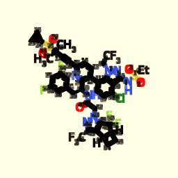 CCS(=O)(=O)Nc1nn(CC(F)(F)F)c2c(-c3ccc(C#CC(C)(C)S(=O)(=O)C4CC4)nc3[C@H](Cc3cc(F)cc(F)c3)NC(=O)Cn3nc(C(F)(F)F)c4c3C(F)(F)[C@@H]3CC[C@H]43)ccc(Cl)c12